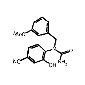 COc1cccc(CN(C(N)=O)c2ccc(C#N)cc2O)c1